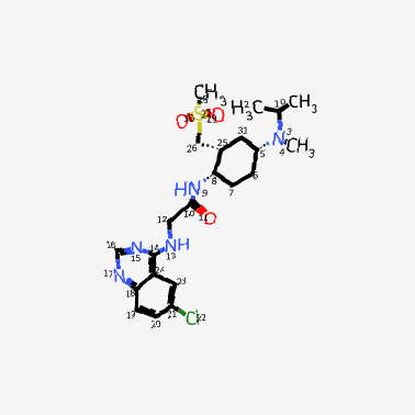 CC(C)N(C)[C@@H]1CC[C@H](NC(=O)CNc2ncnc3ccc(Cl)cc23)[C@H](CS(C)(=O)=O)C1